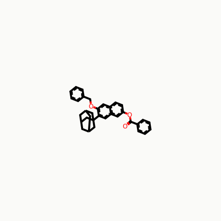 O=C(Oc1ccc2cc(OCc3ccccc3)c(C34CC5CC(CC(C5)C3)C4)cc2c1)c1ccccc1